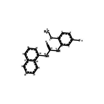 COc1ccc(F)cc1NC(=S)Nc1cccc2cnccc12